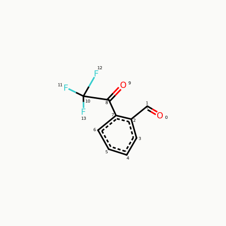 O=[C]c1ccccc1C(=O)C(F)(F)F